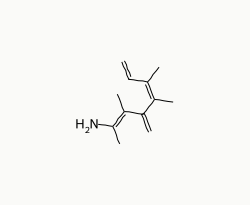 C=C/C(C)=C(/C)C(=C)/C(C)=C(\C)N